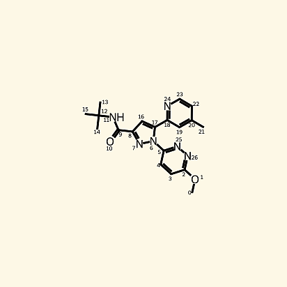 COc1ccc(-n2nc(C(=O)NC(C)(C)C)cc2-c2cc(C)ccn2)nn1